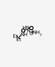 CCN(CC)CCNc1cccc(-c2nc3c(C(N)=O)cccc3[nH]2)c1